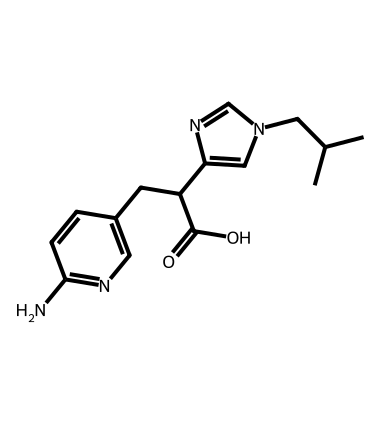 CC(C)Cn1cnc(C(Cc2ccc(N)nc2)C(=O)O)c1